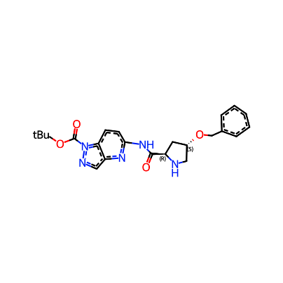 CC(C)(C)OC(=O)n1ncc2nc(NC(=O)[C@H]3C[C@H](OCc4ccccc4)CN3)ccc21